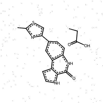 CCC(=O)O.Cc1nc(-c2ccc3[nH]c(=O)c4[nH]ccc4c3c2)cs1